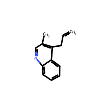 C=CCc1c(C)cnc2ccccc12